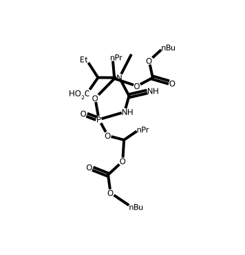 CCCCOC(=O)OC(CCC)OP(=O)(NC(=N)N(C)C(CC)C(=O)O)OC(CCC)OC(=O)OCCCC